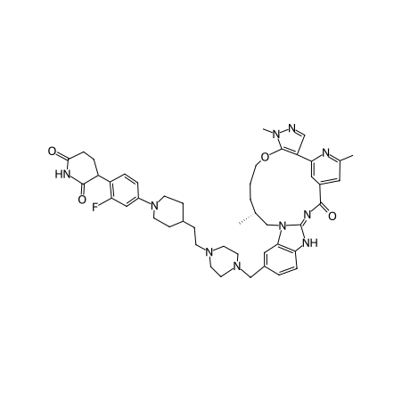 Cc1cc2cc(n1)-c1cnn(C)c1OCCC[C@@H](C)CN1/C(=N/C2=O)Nc2ccc(CN3CCN(CCC4CCN(c5ccc(C6CCC(=O)NC6=O)c(F)c5)CC4)CC3)cc21